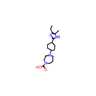 CCc1nc(C2CCC(N3CCCN(C(=O)O)CC3)CC2)[nH]c1C